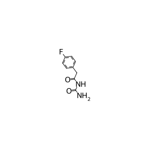 NC(=O)NC(=O)Cc1ccc(F)cc1